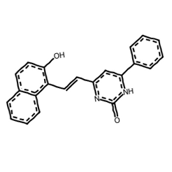 O=c1nc(C=Cc2c(O)ccc3ccccc23)cc(-c2ccccc2)[nH]1